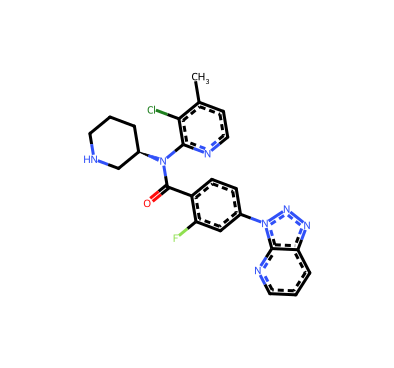 Cc1ccnc(N(C(=O)c2ccc(-n3nnc4cccnc43)cc2F)[C@@H]2CCCNC2)c1Cl